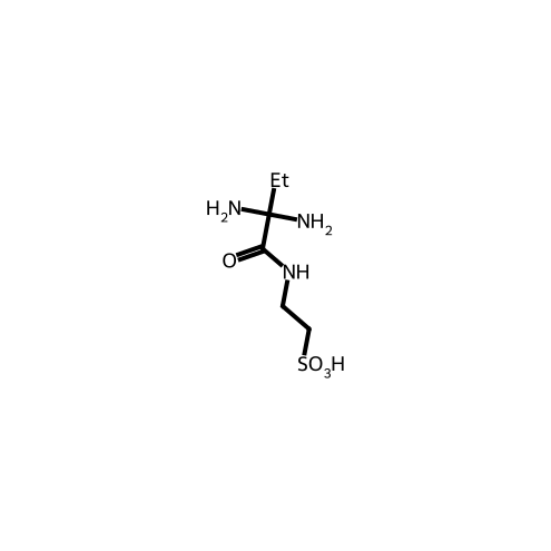 CCC(N)(N)C(=O)NCCS(=O)(=O)O